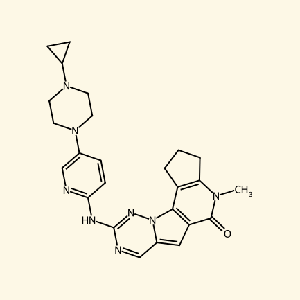 Cn1c2c(c3c(cc4cnc(Nc5ccc(N6CCN(C7CC7)CC6)cn5)nn43)c1=O)CCC2